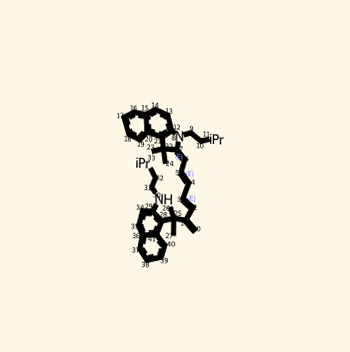 C=C(/C=C/C=C/C=C1/N(CCC(C)C)c2ccc3ccccc3c2C1(C)C)C(C)(C)c1c(NCCC(C)C)ccc2ccccc12